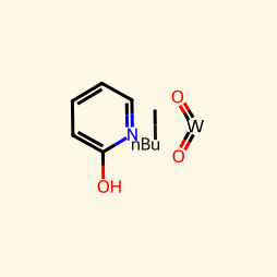 CCCCC.Oc1ccccn1.[O]=[W]=[O]